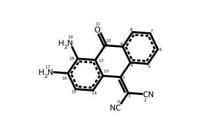 N#CC(C#N)=C1c2ccccc2C(=O)c2c1ccc(N)c2N